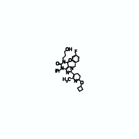 CC1=C(c2nc3c(c(=O)n(CCCO)c(=O)n3C(C)C)n2CC2=C=C=C(F)C=C2)CCC(OC2CCC2)=N1